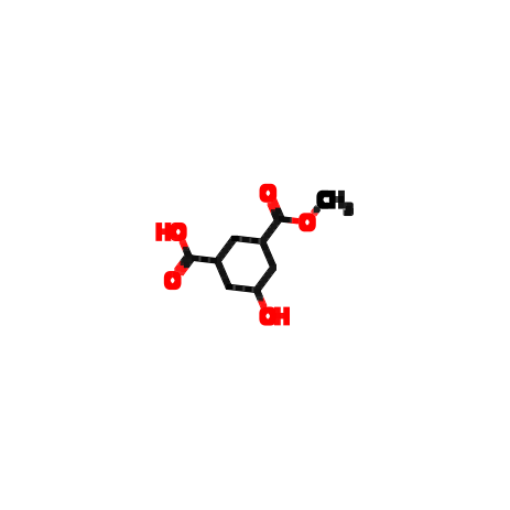 COC(=O)C1CC(O)CC(C(=O)O)C1